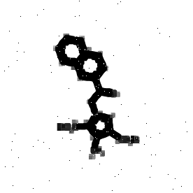 CCOC(=O)c1nn(CC(=O)c2ccc3ccccc3c2)c(C(=O)OCC)c1C